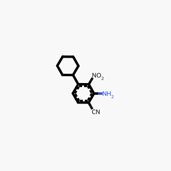 N#Cc1ccc(C2CCCCC2)c([N+](=O)[O-])c1N